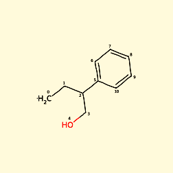 [CH2]CC(CO)c1ccccc1